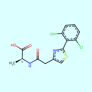 C[C@H](NC(=O)Cc1csc(-c2c(Cl)cccc2Cl)n1)C(=O)O